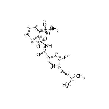 CC(C)C#Cc1ncc(C(=O)NS(=O)(=O)c2ccccc2S(N)(=O)=O)cc1F